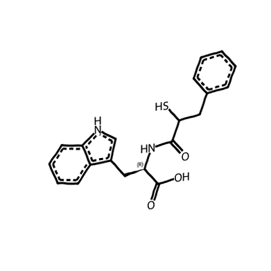 O=C(N[C@H](Cc1c[nH]c2ccccc12)C(=O)O)C(S)Cc1ccccc1